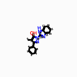 Cc1c(-c2ccccc2)nn(-c2nc3ccccc3[nH]2)c1O